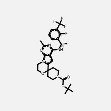 Cc1nc(N[C@H](C)c2cccc(C(F)(F)F)c2F)c2cc3n(c2n1)CCOC31CCN(C(=O)OC(C)(C)C)CC1